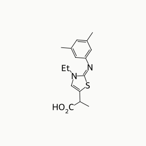 CCn1cc(C(C)C(=O)O)s/c1=N/c1cc(C)cc(C)c1